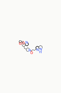 COC(=O)CC(CC1CCN(C(=O)CCc2ccc3c(n2)NCCC3)CC1)c1cccnc1